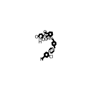 N#Cc1ccc(N2CCN(Cc3ccc(CNc4cccc5c4C(=O)N(C4CCC(=O)NC4=O)C5=O)cc3)CC2)c(Cl)c1